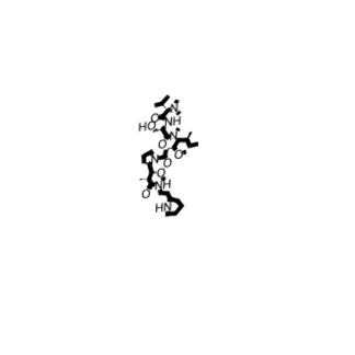 CC[C@H](C)[C@@H]([C@@H](CC(=O)N1CCC[C@H]1[C@H](OC)[C@@H](C)C(=O)NCCC1CCCCN1)OC)N(C)C(=O)[C@H](CO)NC(=O)[C@H](C(C)C)N(C)C